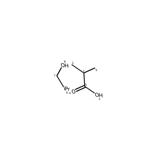 CC(C)C(=O)O.CC(C)CO